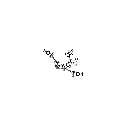 CCOC(=O)C(C(CC(C)(C)C1C(=O)OC(=O)C1C)C(=O)O)C(C)(C)CC1C(=O)N(CCCNC(=O)c2ccc(N(C)C)cc2)C(=O)C1C(C)(C)CC(C(=O)O)C(C(=O)NCCCNC(=O)c1ccc(N(C)C)cc1)C(C)(C)CC